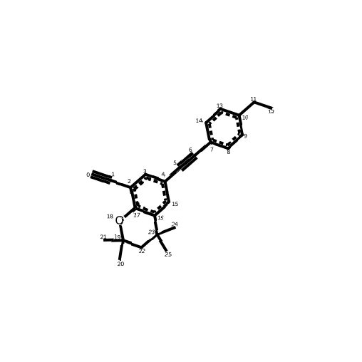 C#Cc1cc(C#Cc2ccc(CC)cc2)cc2c1OC(C)(C)CC2(C)C